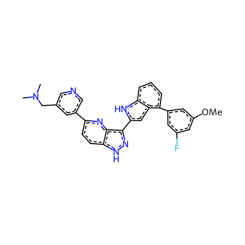 COc1cc(F)cc(-c2cccc3[nH]c(-c4n[nH]c5ccc(-c6cncc(CN(C)C)c6)nc45)cc23)c1